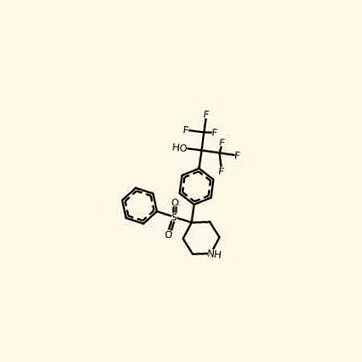 O=S(=O)(c1ccccc1)C1(c2ccc(C(O)(C(F)(F)F)C(F)(F)F)cc2)CCNCC1